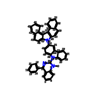 CN1c2ccccc2C(c2ccccc2)=NC1n1c2ccccc2c2cc(-n3c4ccc5ccccc5c4c4c5ccccc5ccc43)ccc21